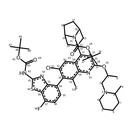 CC(CN1CCCCC1C)Oc1nc(N2CC3CCC(C2)N3C(=O)OC(C)(C)C)c2cc(Cl)c(-c3ccc(F)c4sc(NC(=O)OC(C)(C)C)nc34)c(F)c2n1